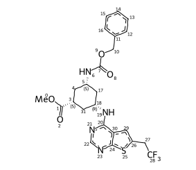 COC(=O)[C@@H]1C[C@H](NC(=O)OCc2ccccc2)C[C@H](Nc2ncnc3sc(CC(F)(F)F)cc23)C1